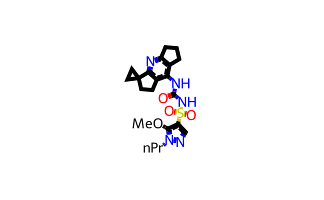 CCCn1ncc(S(=O)(=O)NC(=O)Nc2c3c(nc4c2CCC42CC2)CCC3)c1OC